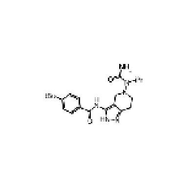 CC(C)N(C(N)=O)N1CCc2n[nH]c(NC(=O)c3ccc(C(C)(C)C)cc3)c2C1